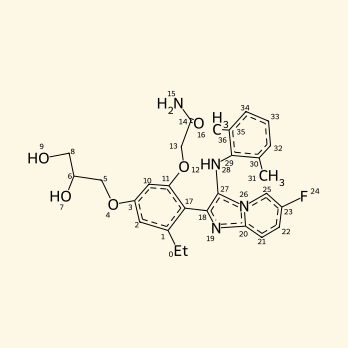 CCc1cc(OCC(O)CO)cc(OCC(N)=O)c1-c1nc2ccc(F)cn2c1Nc1c(C)cccc1C